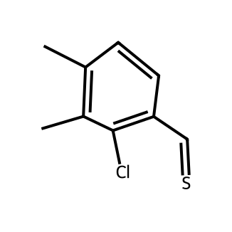 Cc1ccc(C=S)c(Cl)c1C